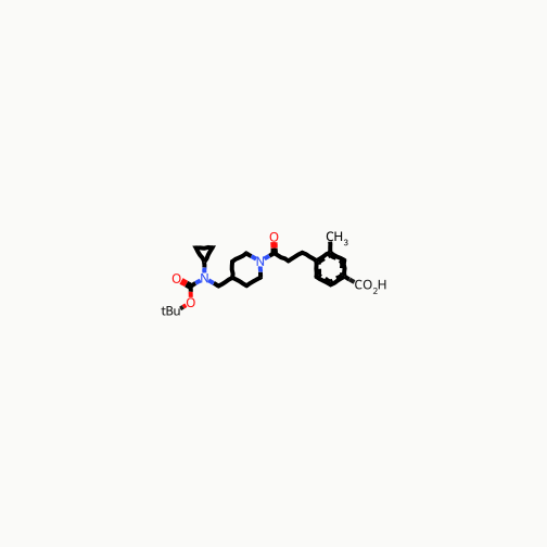 Cc1cc(C(=O)O)ccc1CCC(=O)N1CCC(CN(C(=O)OC(C)(C)C)C2CC2)CC1